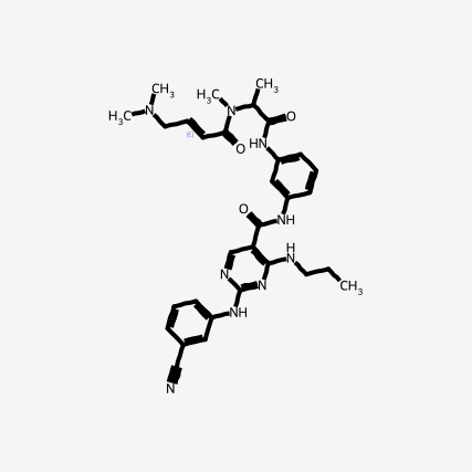 CCCNc1nc(Nc2cccc(C#N)c2)ncc1C(=O)Nc1cccc(NC(=O)C(C)N(C)C(=O)/C=C/CN(C)C)c1